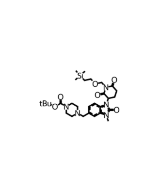 Cn1c(=O)n(C2CCC(=O)N(COCC[Si](C)(C)C)C2=O)c2ccc(CN3CCN(C(=O)OC(C)(C)C)CC3)cc21